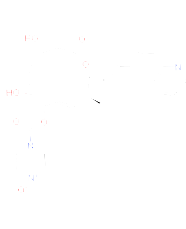 C/C(=C\C=C\[C@H](C)c1ccccn1)[C@H]1OC(=O)C[C@@H](O)CC[C@](C)(O)[C@@H](OC(=O)N2CC[N+](C)([O-])CC2)/C=C/[C@@H]1C